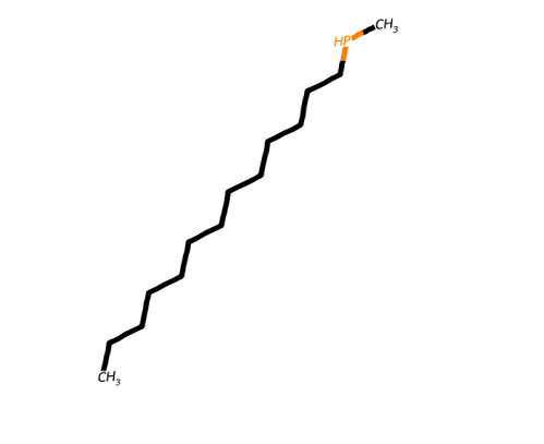 CCCCCCCCCCCCCPC